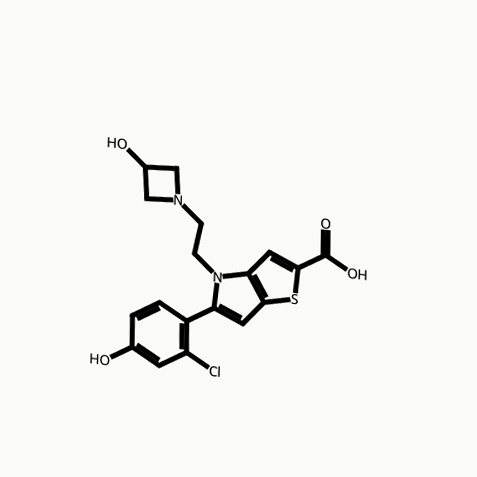 O=C(O)c1cc2c(cc(-c3ccc(O)cc3Cl)n2CCN2CC(O)C2)s1